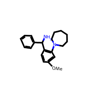 COc1ccc(C(N)c2ccccc2)c(N2CCCCCC2)c1